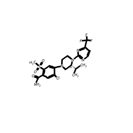 CC(C)[C@@H]1CN(c2cc(S(C)(=O)=O)c(C(N)=O)cc2Cl)CCN1c1nccc(C(F)(F)F)n1